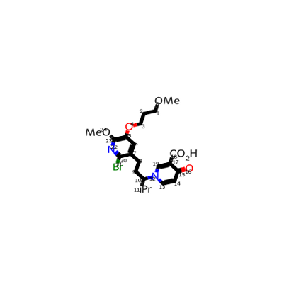 COCCCOc1cc(CCC(C(C)C)n2ccc(=O)c(C(=O)O)c2)c(Br)nc1OC